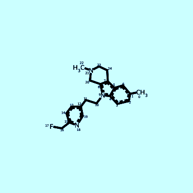 Cc1ccc2c(c1)c1c(n2CCc2ccc(CF)nc2)CN(C)CC1